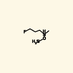 C[SiH](CCCF)O[SiH3]